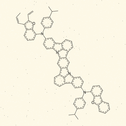 C=Cc1oc2c(N(c3ccc(C(C)C)cc3)c3ccc4c(c3)c3cccc5c6cc7c(cc6n4c35)c3cccc4c5cc(N(c6ccc(C(C)C)cc6)c6cccc8c6oc6ccccc68)ccc5n7c43)cccc2c1/C=C\C